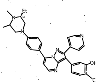 CC[C@H]1CN(c2ccc(-c3ccnc4c(-c5ccc(Cl)c(O)c5)c(-c5ccncc5)nn34)cc2)CC(C)N1C